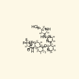 Cc1ccc2c(NS(=O)(=O)CC(F)(F)F)c(F)ccc2c1Oc1ncccc1-c1ccnc(N[C@@H]2CNC[C@@H](F)C2)n1.Cl